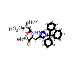 CCCCCCN(CC(=O)O)CC(=O)N[C@@H](Cc1cn(C(c2ccccc2)(c2ccccc2)c2ccccc2)cn1)C(=O)OC